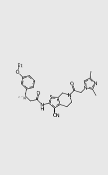 CCOc1cccc([C@@H](C)CC(=O)Nc2sc3c(c2C#N)CCN(C(=O)Cn2cc(C)nc2C)C3)c1